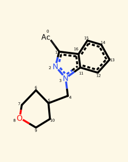 CC(=O)c1nn(CC2CCOCC2)c2ccccc12